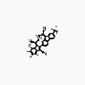 N#CC(C#N)=C1c2cc(C3=C(C#N)c4c(F)c(F)c(F)c(F)c4C3=C(C#N)C#N)ccc2-c2ccc(C(F)(F)F)cc21